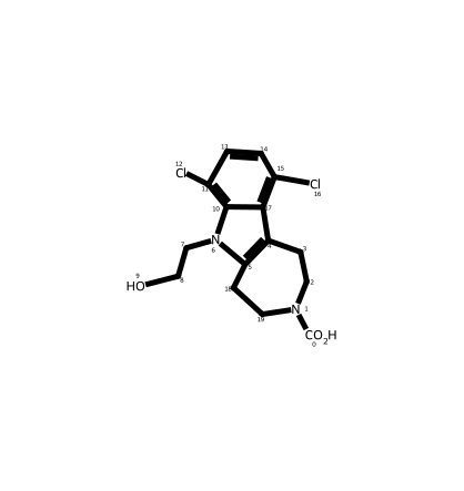 O=C(O)N1CCc2c(n(CCO)c3c(Cl)ccc(Cl)c23)CC1